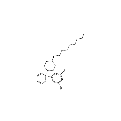 CCCCCCCCC[C@H]1CC[C@H](C2(c3cc(F)cc(F)c3)C=CC=CC2)CC1